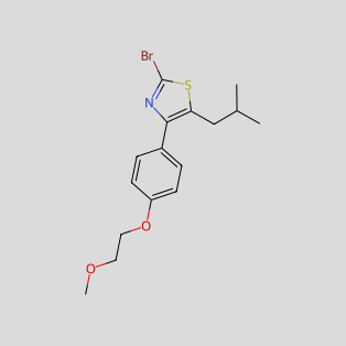 COCCOc1ccc(-c2nc(Br)sc2CC(C)C)cc1